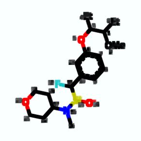 CCC(OC)C(CC)Oc1cccc(C(F)[S+]([O-])N(C)C2CCOCC2)c1